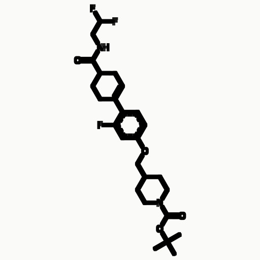 CC(C)(C)OC(=O)N1CCC(COc2ccc(C3=CCC(C(=O)NCC(F)F)CC3)c(F)c2)CC1